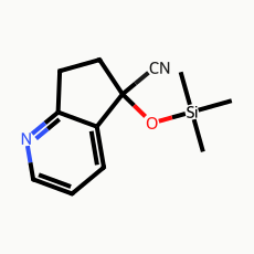 C[Si](C)(C)OC1(C#N)CCc2ncccc21